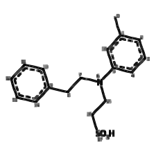 Cc1cccc(N(CCc2ccccc2)CCS(=O)(=O)O)c1